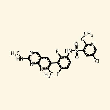 CNc1ncc2cc(-c3c(F)ccc(NS(=O)(=O)c4cc(Cl)cnc4OC)c3F)c(C)nc2n1